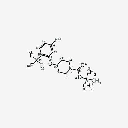 CC(C)(C)OC(=O)N1CCC(Oc2cc(F)ccc2C(F)(F)F)CC1